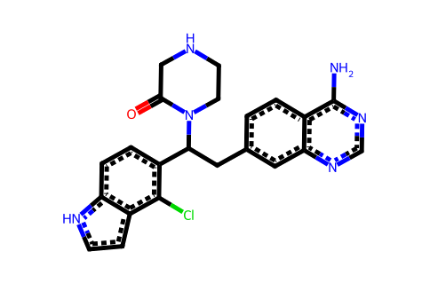 Nc1ncnc2cc(CC(c3ccc4[nH]ccc4c3Cl)N3CCNCC3=O)ccc12